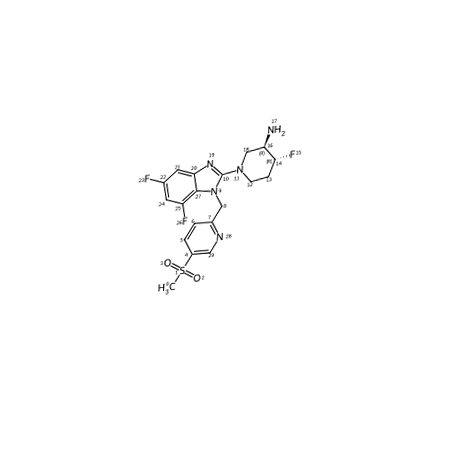 CS(=O)(=O)c1ccc(Cn2c(N3CC[C@@H](F)[C@H](N)C3)nc3cc(F)cc(F)c32)nc1